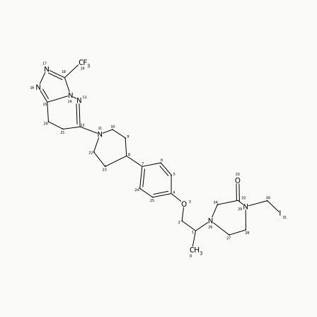 CC(COc1ccc(C2CCN(C3=Nn4c(nnc4C(F)(F)F)CC3)CC2)cc1)N1CCN(CI)C(=O)C1